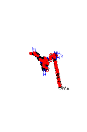 C#CCNC1(C)CCN(C2CCN(c3nc(C(COCNC(=O)CNC(=O)C(CC(N)=O)NC(=O)CCOCCOCCOCCOCCOCCOCCOCCOC)(OC4CC4)c4ccccc4)c4cc(-c5cn(C)c(=O)c6[nH]ccc56)ccc4n3)CC2)CC1